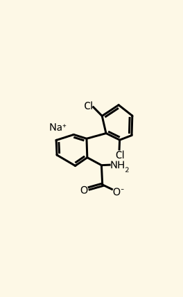 NC(C(=O)[O-])c1ccccc1-c1c(Cl)cccc1Cl.[Na+]